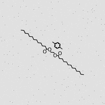 CCCCCCCCCCCCC(=O)OCCOC(=O)CCCCCCCCCCCC.Cc1ccc(C)cc1